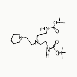 CC(C)(C)OC(=O)NCCN(CCNC(=O)OC(C)(C)C)CCN1CCCCC1